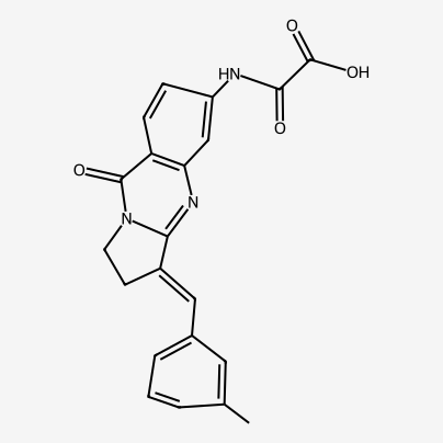 Cc1cccc(/C=C2\CCn3c2nc2cc(NC(=O)C(=O)O)ccc2c3=O)c1